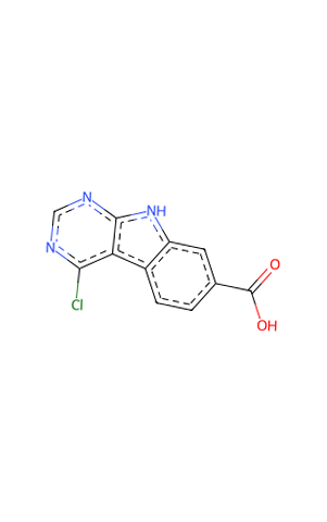 O=C(O)c1ccc2c(c1)[nH]c1ncnc(Cl)c12